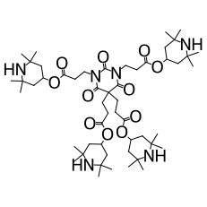 CC1(C)CC(OC(=O)CCN2C(=O)N(CCC(=O)OC3CC(C)(C)NC(C)(C)C3)C(=O)C(CCC(=O)OC3CC(C)(C)NC(C)(C)C3)(CCC(=O)OC3CC(C)(C)NC(C)(C)C3)C2=O)CC(C)(C)N1